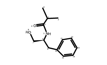 CC(C)C(=O)N[C@H](CO)Cc1ccccc1